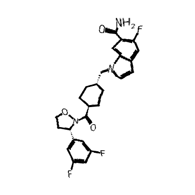 NC(=O)c1cc2c(ccn2C[C@H]2CC[C@H](C(=O)N3OCC[C@H]3c3cc(F)cc(F)c3)CC2)cc1F